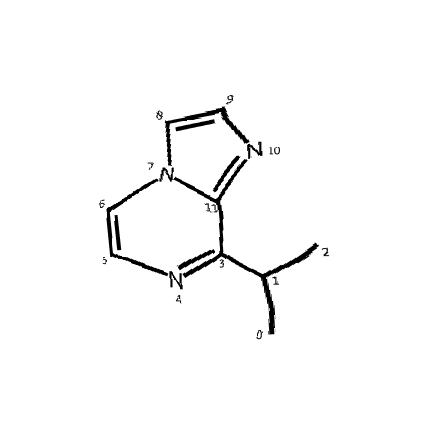 CC(C)c1nccn2ccnc12